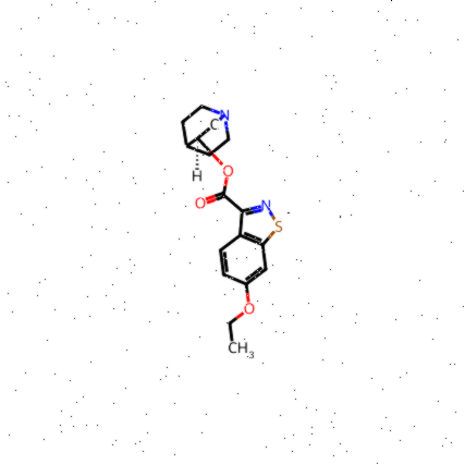 CCOc1ccc2c(C(=O)O[C@@H]3CN4CCC3CC4)nsc2c1